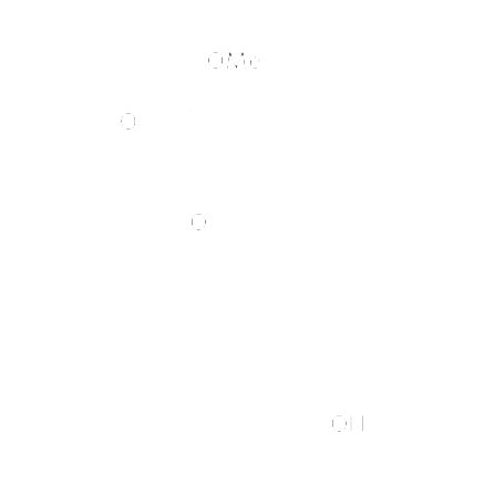 COC(=O)C1CCc2cc(O)ccc2O1